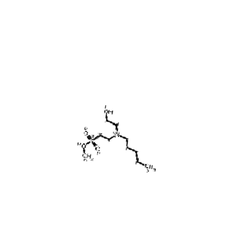 CCCCCN(CCO)CCS(=O)(=O)OC